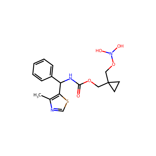 Cc1ncsc1C(NC(=O)OCC1(CON(O)O)CC1)c1ccccc1